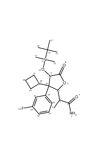 CC(C(N)=O)C1OC(=O)N(O[Si](C)(C)C(C)(C)C)C1(c1cccc(F)c1)N1CCC1